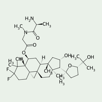 C[C@H](N)C(=O)N(C)CC(=O)O[C@H]1C[C@@H]2[C@]3(CC[C@]4(C)[C@@H]([C@]5(C)CC[C@@H](C(C)(C)O)O5)[C@@H](O)C[C@@]24C)C[C@@]32CCC(F)(F)C(C)(C)[C@H]12